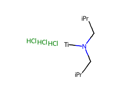 CC(C)C[N]([Ti])CC(C)C.Cl.Cl.Cl